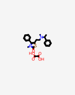 CC(c1ccccc1)N(C)CCc1sc(=O)n(C)c1-c1ccccc1.O=C(O)C(=O)O